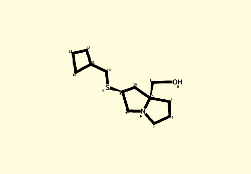 OC[C@@]12CCCN1C[C@@H](SCC1CCC1)C2